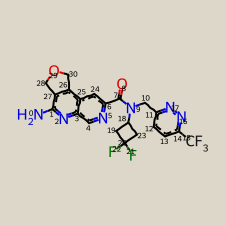 Nc1nc2cnc(C(=O)N(Cc3ccc(C(F)(F)F)nn3)C3CC(F)(F)C3)cc2c2c1COC2